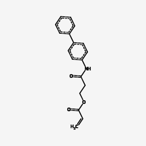 C=CC(=O)OCCC(=O)Nc1ccc(-c2ccccc2)cc1